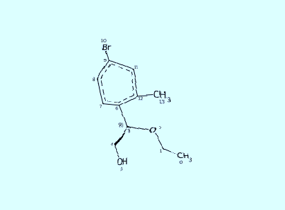 CCO[C@@H](CO)c1ccc(Br)cc1C